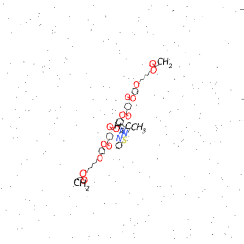 C=CC(=O)OCCCCCCOc1ccc(OC(=O)[C@H]2CC[C@H](C(=O)Oc3ccc(OC(=O)[C@H]4CC[C@H](C(=O)Oc5ccc(OCCCCCCOC(=O)C=C)cc5)CC4)c(/C=N/N(CC(=C)C)c4nc5ccccc5s4)c3)CC2)cc1